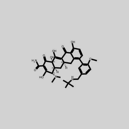 COc1ccc(CNC(C)(C)C)cc1-c1ccc(O)c2c1C[C@H]1C[C@H]3[C@H](N(C)C)C(O)=C(C(N)=O)C(=O)[C@@]3(O)C(O)=C1C2=O